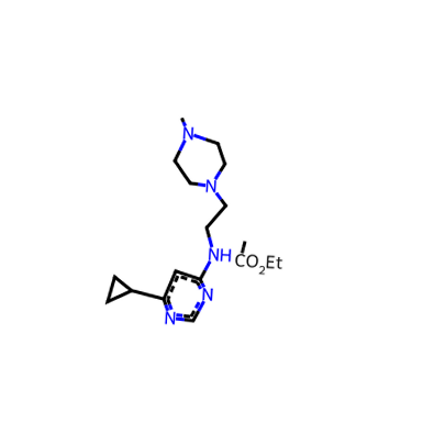 CCOC(C)=O.CN1CCN(CCNc2cc(C3CC3)ncn2)CC1